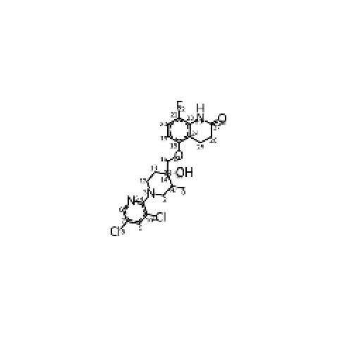 C[C@H]1CN(c2ncc(Cl)cc2Cl)CC[C@@]1(O)COc1ccc(F)c2c1CCC(=O)N2